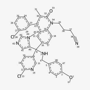 COc1ccc(CNC(c2ccc(Cl)nc2)(c2ccc3c(c2)c(-c2cccc(Cl)c2)c(C)c(=O)n3CCCC#N)c2cncn2C)cc1